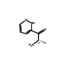 C[C@H](N)C(=O)C1=CC=CON1